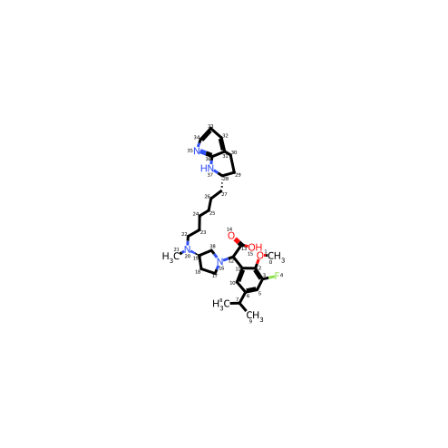 COc1c(F)cc(C(C)C)cc1C(C(=O)O)N1CC[C@@H](N(C)CCCCCC[C@H]2CCc3cccnc3N2)C1